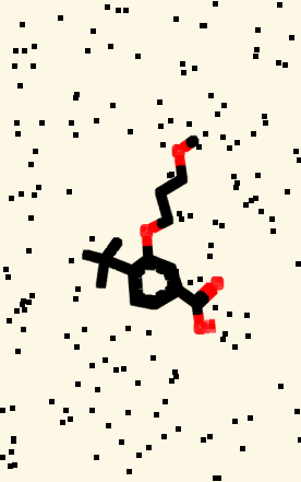 COCCCOc1cc(C(=O)O)ccc1C(C)(C)C